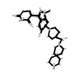 C[C@@H](C1CCN(c2cc3c(cc2F)c(C2CCC(=O)NC2=O)nn3C)CC1)N1CCC2(CCNCC2)CC1